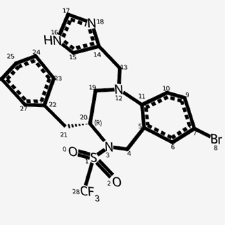 O=S(=O)(N1Cc2cc(Br)ccc2N(Cc2c[nH]cn2)C[C@H]1Cc1ccccc1)C(F)(F)F